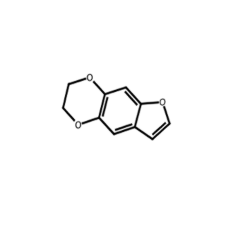 c1cc2cc3c(cc2o1)OCCO3